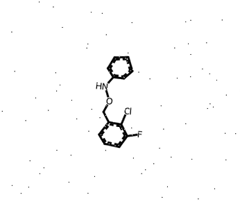 Fc1cccc(CONc2ccccc2)c1Cl